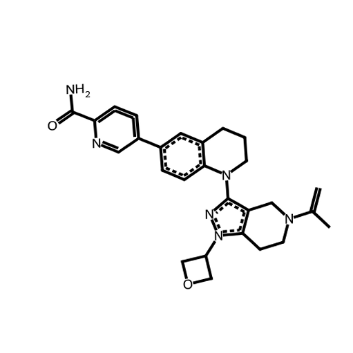 C=C(C)N1CCc2c(c(N3CCCc4cc(C5=C=C=C(C(N)=O)N=C5)ccc43)nn2C2COC2)C1